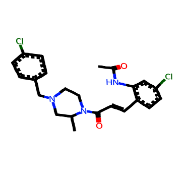 CC(=O)Nc1cc(Cl)ccc1/C=C/C(=O)N1CCN(Cc2ccc(Cl)cc2)CC1C